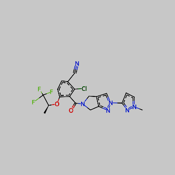 C[C@H](Oc1ccc(C#N)c(Cl)c1C(=O)N1Cc2cn(-c3ccn(C)n3)nc2C1)C(F)(F)F